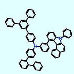 c1ccc(-c2cc(-c3ccccc3)cc(-c3ccc(N(c4ccc(-c5ccccc5-c5ccccc5)cc4)c4cccc(-c5cccc6c5c5c7ccccc7ccc5n6-c5ccccc5)c4)cc3)c2)cc1